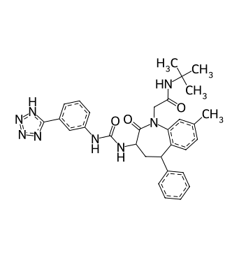 Cc1ccc2c(c1)N(CC(=O)NC(C)(C)C)C(=O)C(NC(=O)Nc1cccc(-c3nnn[nH]3)c1)CC2c1ccccc1